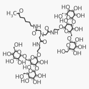 CC(=O)CCCCCNC(=O)CN(CC(=O)NCCO[C@@H]1O[C@H](CO[C@H]2O[C@H](CO)[C@H](O)[C@H](O)[C@@H]2O)[C@@H](O)[C@H](O[C@H]2O[C@H](CO)[C@@H](O)[C@H](O)[C@@H]2O)[C@H]1O)CC(=O)NCCO[C@@H]1O[C@H](CO[C@H]2O[C@H](CO)[C@@H](O)[C@H](O)[C@@H]2O)[C@@H](O)[C@H](O[C@H]2O[C@H](CO)[C@@H](O)[C@H](O)[C@@H]2O)[C@H]1O